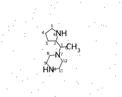 CC(C1CCCN1)N1CCNCC1